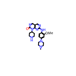 COc1cc(N2CCN(C)CC2)ccc1Nc1ncc2cnc(=O)n(C3CCNCC3)c2n1